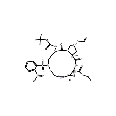 CCOC(=O)[C@@]12C[C@H]1/C=C\CCN(S(=O)(=O)c1ccccc1[N+](=O)[O-])CC[C@H](NC(=O)OC(C)(C)C)C(=O)N1C[C@H](OC=O)C[C@H]1C(=O)N2